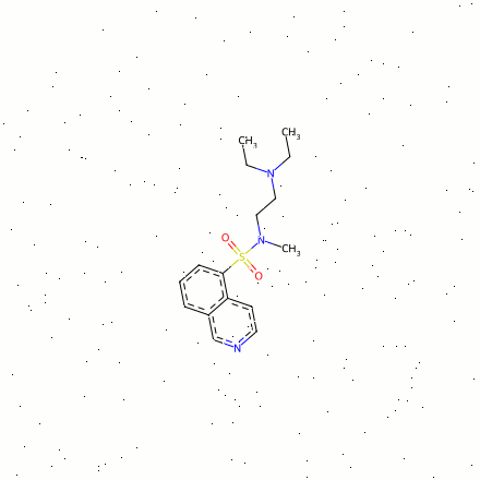 CCN(CC)CCN(C)S(=O)(=O)c1cccc2cnccc12